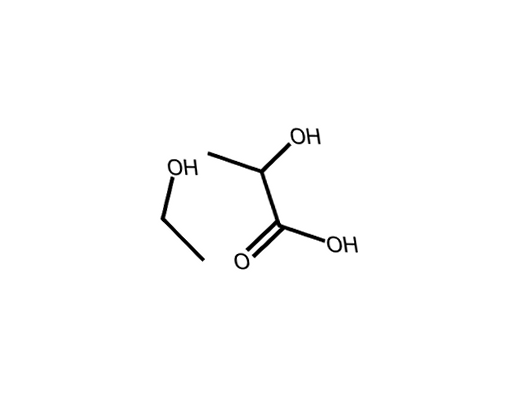 CC(O)C(=O)O.CCO